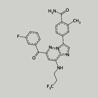 Cc1cc(-c2cnc3c(NCCC(F)(F)F)cc(C(=O)c4cccc(F)c4)nn23)ccc1C(N)=O